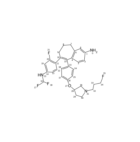 Nc1ccc2c(c1)CCCC(c1ccc(NC(F)F)cc1F)=C2c1ccc(OC2CCN(CCCF)C2)cc1